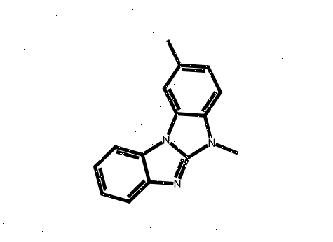 Cc1ccc2c(c1)n1c3ccccc3nc1n2C